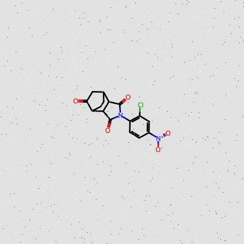 O=C1CC2CCC1C1C(=O)N(c3ccc([N+](=O)[O-])cc3Cl)C(=O)C21